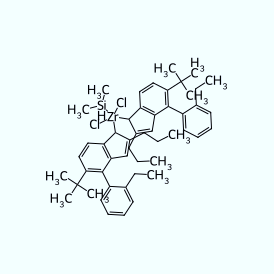 CCCC1=Cc2c(ccc(C(C)(C)C)c2-c2ccccc2CC)[CH]1[Zr]([Cl])([Cl])([CH]1C(CCC)=Cc2c1ccc(C(C)(C)C)c2-c1ccccc1CC)[SiH](C)C